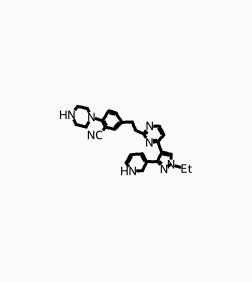 CCn1cc(-c2ccnc(CCc3ccc(N4CCNCC4)c(C#N)c3)n2)c(C2=CC=CNC2)n1